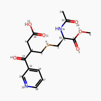 COC(=O)[C@@H](CSCC(CC(=O)O)C(=O)c1cccnc1)NC(C)=O